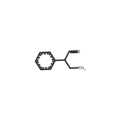 CCC([C]=S)c1ccccc1